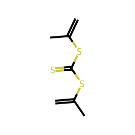 C=C(C)SC(=S)SC(=C)C